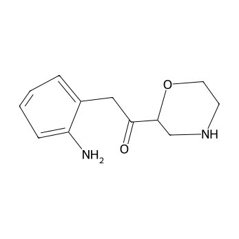 Nc1ccccc1CC(=O)C1CNCCO1